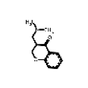 CN(C)CC1COc2ccccc2C1=O